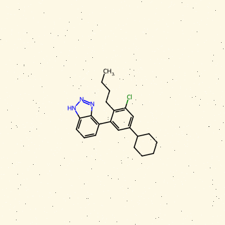 CCCCc1c(Cl)cc(C2CCCCC2)cc1-c1cccc2[nH]nnc12